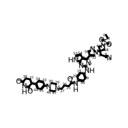 CCS(=O)(=O)N1CC(CC#N)(n2cc(-c3nc(Nc4ccc(NC(=O)CCCN5CCN(c6ccc(C7CCC(=O)NC7=O)cc6)CC5)cc4)nc4[nH]ccc34)cn2)C1